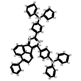 c1ccc(-c2ccc3c4c(cccc24)-c2nc(-c4ccc(N(c5ccccc5)c5ccccc5)cc4)nc(-c4ccc(N(c5ccccc5)c5ccccc5)cc4)c2-3)cc1